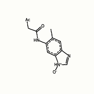 CC(=O)CC(=O)Nc1cc2c(cc1C)N=C[NH+]2[O-]